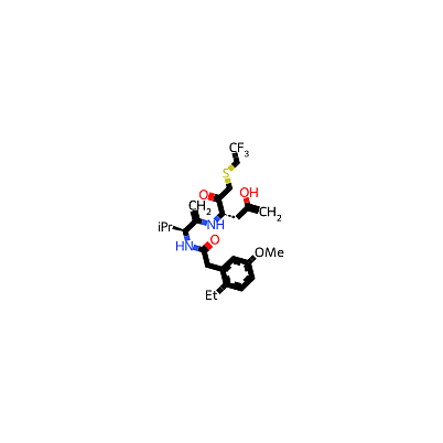 C=C(O)C[C@H](NC(=C)[C@@H](NC(=O)Cc1cc(OC)ccc1CC)C(C)C)C(=O)CSCC(F)(F)F